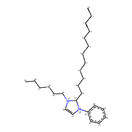 CCCCCCCCCCCCC1N(CCCCCC)C=CN1c1ccccc1